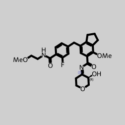 COCCNC(=O)c1ccc(Cc2cc(C(=O)/N=C3/CCOC[C@@H]3O)c(OC)c3c2CCC3)cc1F